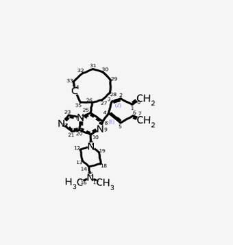 C=C/C=C\C(=C/C=C)c1nc(N2CCC(N(C)C)CC2)c2cncn2c1C1CCCCCCCCC1